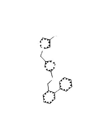 Brc1cnn(Cc2nnc(SCc3ccccc3-c3ccccc3)o2)c1